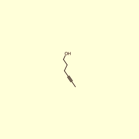 CC#CCCCO